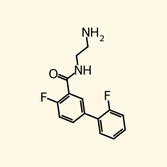 NCCNC(=O)c1cc(-c2ccccc2F)ccc1F